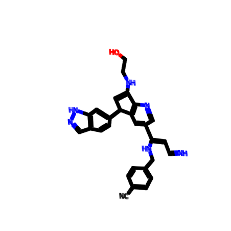 N#Cc1ccc(CN/C(=C\C=N)c2cnc3c(c2)C(c2ccc4cn[nH]c4c2)C=C3NCCO)cc1